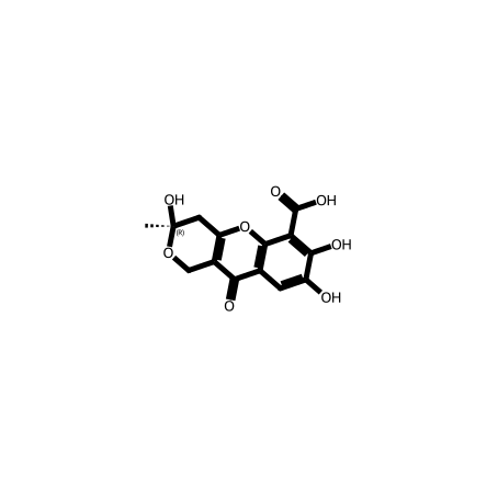 C[C@]1(O)Cc2oc3c(C(=O)O)c(O)c(O)cc3c(=O)c2CO1